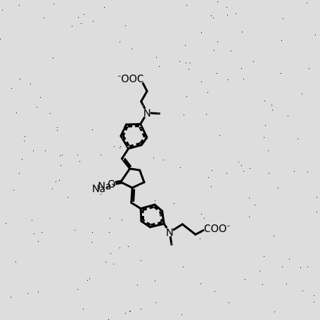 CN(CCC(=O)[O-])c1ccc(/C=C2\CC/C(=C\c3ccc(N(C)CCC(=O)[O-])cc3)C2=O)cc1.[Na+].[Na+]